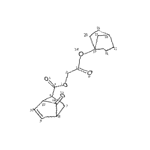 O=C(COC(=O)C1CC2C=CC1C2=O)OC12CCC(CC1)C2